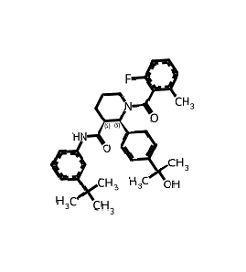 Cc1cccc(F)c1C(=O)N1CCC[C@H](C(=O)Nc2cccc(C(C)(C)C)c2)[C@@H]1C1C=CC(C(C)(C)O)=CC1